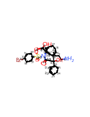 NCCCC[C@@H](C(=O)O)N(C(=O)C(O)(c1ccccc1)c1ccccc1)S(=O)(=O)c1ccc(Br)cc1